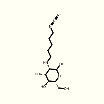 [N-]=[N+]=NCCCCCN[C@@H]1C(O)O[C@H](CO)[C@@H](O)[C@@H]1O